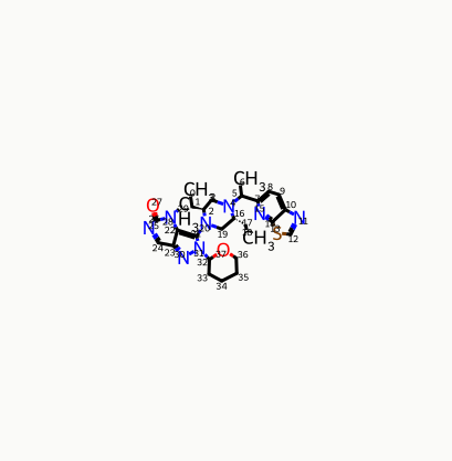 CC[C@H]1CN(C(C)c2ccc3ncsc3n2)[C@H](CC)CN1c1c2c(cnc(=O)n2C)nn1C1CCCCO1